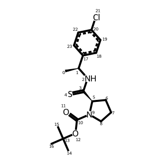 C[C@H](NC(=S)[C@H]1CCCN1C(=O)OC(C)(C)C)c1ccc(Cl)cc1